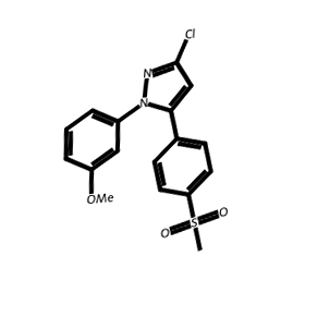 COc1cccc(-n2nc(Cl)cc2-c2ccc(S(C)(=O)=O)cc2)c1